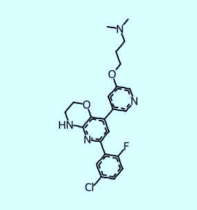 CN(C)CCCOc1cncc(-c2cc(-c3cc(Cl)ccc3F)nc3c2OCCN3)c1